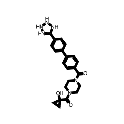 O=C(c1ccc(-c2ccc(C3NNNN3)cc2)cc1)N1CCN(C(=O)C2(O)CC2)CC1